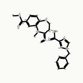 C=S=C1[C@@H](NC(=O)c2ncn(Cc3ccccc3)n2)COc2ccc(C(=O)OC)cc2N1C